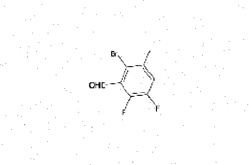 Cc1cc(F)c(F)c(C=O)c1Br